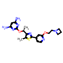 Cc1sc(-c2ccnc(OCCN3CCC3)c2)nc1[C@H](C)Oc1nc(N)cc(N)n1